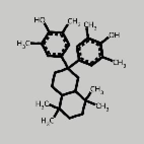 Cc1cc(C2(c3cc(C)c(O)c(C)c3)CCC3C(C2)C(C)(C)CCC3(C)C)cc(C)c1O